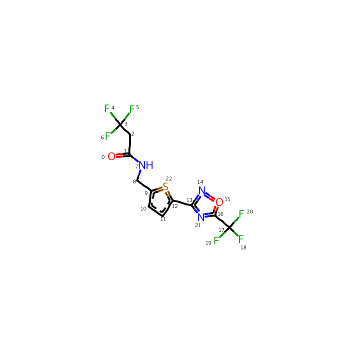 O=C(CC(F)(F)F)NCc1ccc(-c2noc(C(F)(F)F)n2)s1